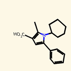 Cc1c(C(=O)O)cc(-c2ccccc2)n1C1CCCCC1